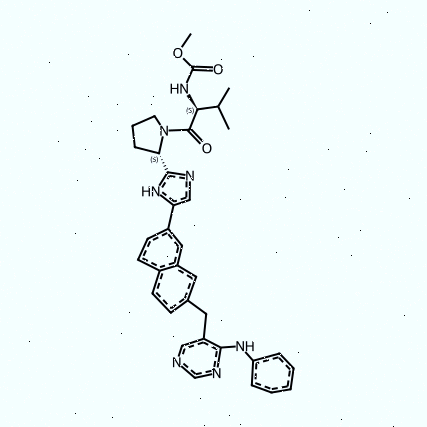 COC(=O)N[C@H](C(=O)N1CCC[C@H]1c1ncc(-c2ccc3ccc(Cc4cncnc4Nc4ccccc4)cc3c2)[nH]1)C(C)C